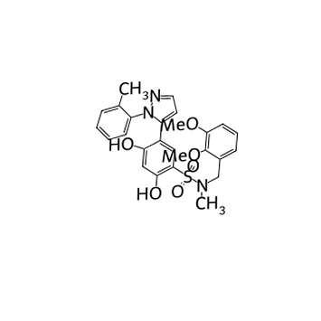 COc1cccc(CN(C)S(=O)(=O)c2cc(-c3ccnn3-c3ccccc3C)c(O)cc2O)c1OC